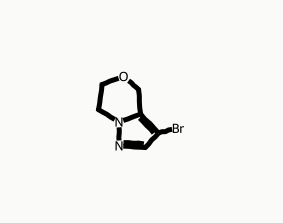 Brc1cnn2c1COCC2